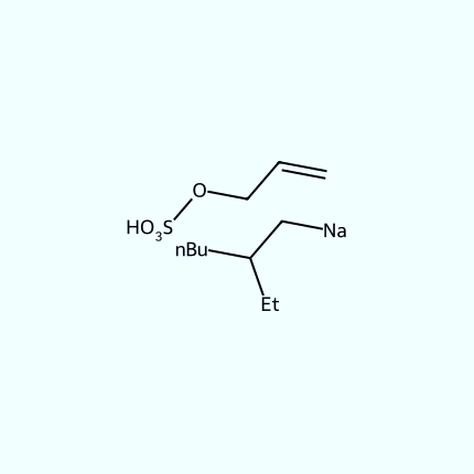 C=CCOS(=O)(=O)O.CCCCC(CC)[CH2][Na]